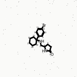 O=C1CCC(CNC2(c3ccc(Br)cc3)CCCCC2)N1